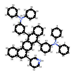 c1ccc(N(c2ccccc2)c2cccc(-c3c4ccccc4c(-c4cccc(N(c5ccccc5)c5ccccc5)c4)c4cc5c(cc34)c(-c3cccnc3)cc3ccccc35)c2)cc1